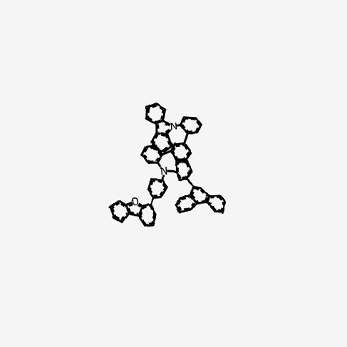 c1cc(-c2ccccc2N(c2ccc(-c3cccc4c3oc3ccccc34)cc2)c2cccc(-c3cc4ccccc4c4ccccc34)c2)cc(-c2ccccc2-n2c3ccccc3c3ccccc32)c1